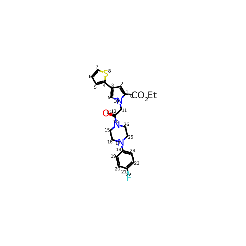 CCOC(=O)c1cc(-c2cccs2)cn1CC(=O)N1CCN(c2ccc(F)cc2)CC1